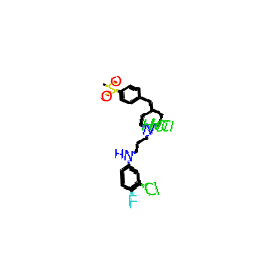 CS(=O)(=O)c1ccc(CC2CCN(CCCNc3ccc(F)c(Cl)c3)CC2)cc1.Cl.Cl